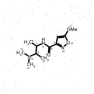 COc1cc(C(=O)NC(C)C(C)N(C)C)no1